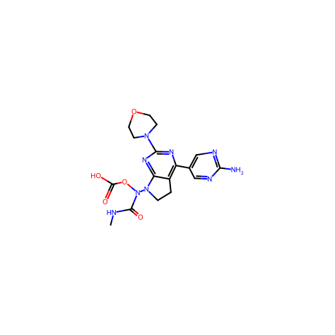 CNC(=O)N(OC(=O)O)N1CCc2c(-c3cnc(N)nc3)nc(N3CCOCC3)nc21